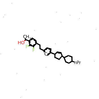 CCCC1CCC(C2C=CC(c3ccc(CCc4ccc(C(C)O)c(F)c4F)cc3)CC2)CC1